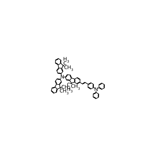 CC1(C)c2ccccc2-c2ccc(N(c3ccc4c(c3)C(C)(C)c3ccccc3-4)c3ccc4c(c3)C(C)(C)c3cc(/C=C/c5ccc(N(c6ccccc6)c6ccccc6)cc5)ccc3-4)cc21